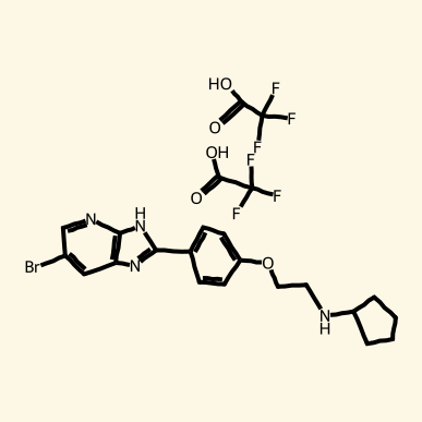 Brc1cnc2[nH]c(-c3ccc(OCCNC4CCCC4)cc3)nc2c1.O=C(O)C(F)(F)F.O=C(O)C(F)(F)F